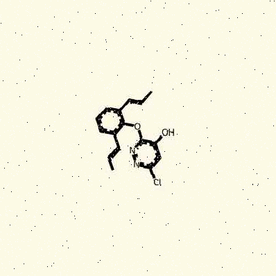 CC=Cc1cccc(C=CC)c1Oc1nnc(Cl)cc1O